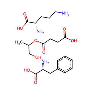 CC(CO)OC(=O)CCC(=O)O.NCCC[C@H](N)C(=O)O.N[C@@H](Cc1ccccc1)C(=O)O